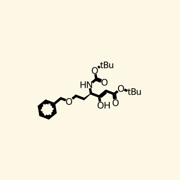 CC(C)(C)OC(=O)C=C(O)[C@@H](CCOCc1ccccc1)NC(=O)OC(C)(C)C